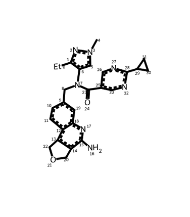 CCc1nn(C)cc1N(Cc1ccc2c3c(c(N)nc2c1)COC3)C(=O)c1cnc(C2CC2)nc1